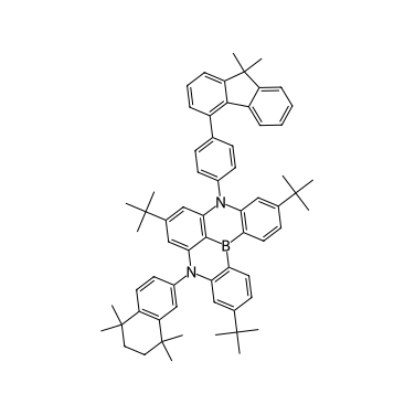 CC(C)(C)c1ccc2c(c1)N(c1ccc(-c3cccc4c3-c3ccccc3C4(C)C)cc1)c1cc(C(C)(C)C)cc3c1B2c1ccc(C(C)(C)C)cc1N3c1ccc2c(c1)C(C)(C)CCC2(C)C